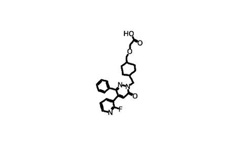 O=C(O)COCC1CCC(Cn2nc(-c3ccccc3)c(-c3cccnc3F)cc2=O)CC1